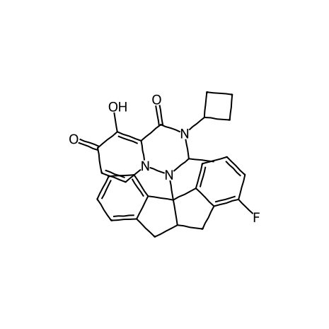 CC1N(C2CCC2)C(=O)c2c(O)c(=O)ccn2N1C12c3ccccc3CC1Cc1c(F)cccc12